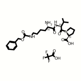 CC(C)[C@H](NC(=O)[C@@H](N)CCCCNC(=O)OCc1ccccc1)C(=O)N1CCC[C@H]1C(=O)O.O=C(O)C(F)(F)F